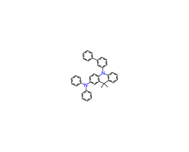 CC1(C)c2ccccc2N(c2cccc(-c3ccccc3)c2)c2ccc(N(c3ccccc3)c3ccccc3)cc21